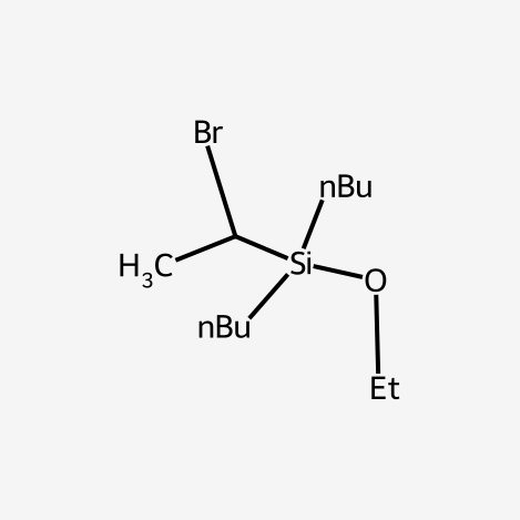 CCCC[Si](CCCC)(OCC)C(C)Br